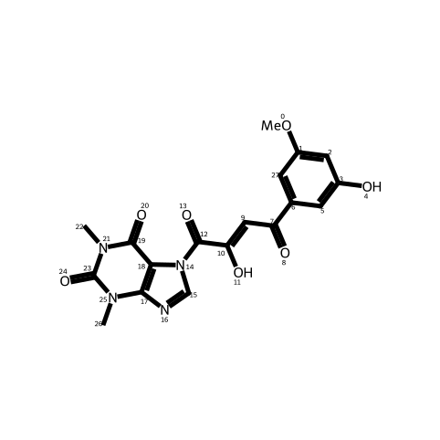 COc1cc(O)cc(C(=O)C=C(O)C(=O)n2cnc3c2c(=O)n(C)c(=O)n3C)c1